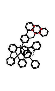 c1ccc(Cc2ccccc2-c2ccc(N(c3ccc(-c4ccccc4)cc3)c3cccc4c3C3(c5ccccc5-4)c4ccccc4-c4c3ccc3c4oc4ccccc43)cc2Cc2ccccc2)cc1